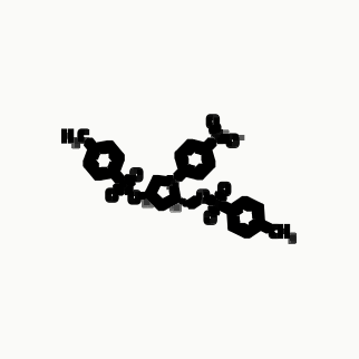 Cc1ccc(S(=O)(=O)OC[C@@H]2C[C@@H](OS(=O)(=O)c3ccc(C)cc3)CN2c2ccc([N+](=O)[O-])cc2)cc1